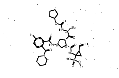 C=CC1CC1(NC(=O)[C@@H]1C[C@@H](NC(=O)c2cc(Br)ccc2C(=O)N2CCCCC2)CN1C(=O)[C@@H](NC(=O)OC1CCCC1)C(C)(C)C)P(=O)(O)OCC